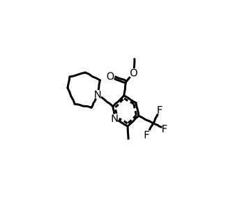 COC(=O)c1cc(C(F)(F)F)c(C)nc1N1CCCCCC1